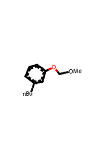 CCCCc1cccc(OCOC)c1